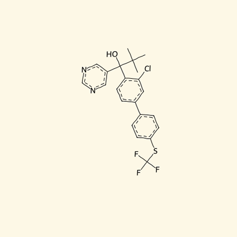 CC(C)(C)C(O)(c1cncnc1)c1ccc(-c2ccc(SC(F)(F)F)cc2)cc1Cl